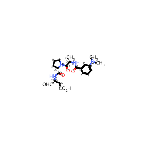 C[C@H](NC(=O)c1cccc(N(C)C)c1)C(=O)N1CCC[C@H]1C(=O)N[C@H](C=O)CC(=O)O